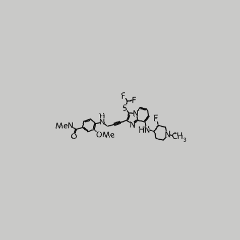 CNC(=O)c1ccc(NCC#Cc2nc3c(N[C@@H]4CCN(C)C[C@@H]4F)cccn3c2SC(F)F)c(OC)c1